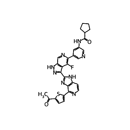 CC(=O)c1ccc(-c2nccc3[nH]c(-c4n[nH]c5cnc(-c6cncc(NC(=O)C7CCCC7)c6)c(F)c45)nc23)s1